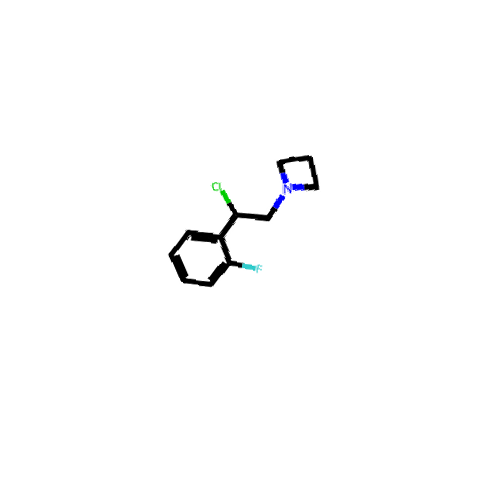 Fc1ccccc1C(Cl)CN1CCC1